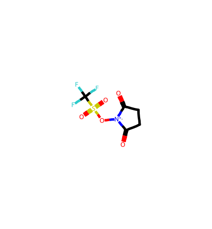 O=C1CCC(=O)[N+]1OS(=O)(=O)C(F)(F)F